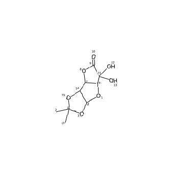 CC1(C)OC2OC3C(OC(=O)C3(O)O)C2O1